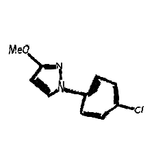 COc1ccn(-c2ccc(Cl)cc2)n1